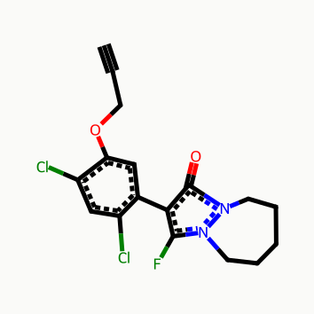 C#CCOc1cc(-c2c(F)n3n(c2=O)CCCCC3)c(Cl)cc1Cl